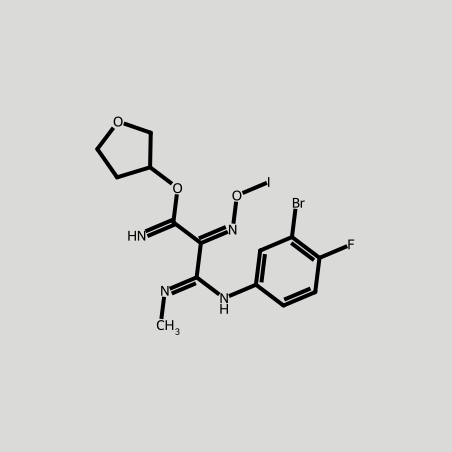 C/N=C(Nc1ccc(F)c(Br)c1)/C(=N/OI)C(=N)OC1CCOC1